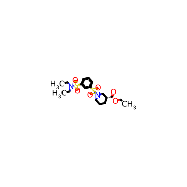 CCOC(=O)[C@@H]1CCCN(S(=O)(=O)c2cccc(S(=O)(=O)N(CC)CC)c2)C1